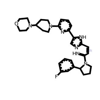 N=C(/C=C\c1ncc(-c2cccc(N3CCC(N4CCOCC4)CC3)n2)[nH]1)N1CCCC1c1cccc(F)c1